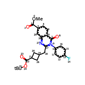 COC(=O)c1ccc2c(=O)n(-c3ccc(F)cc3)c(CC3CC(C(=O)OC(C)(C)C)C3)nc2c1